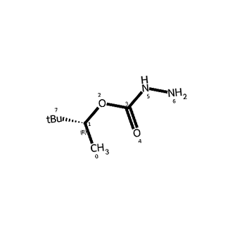 C[C@@H](OC(=O)NN)C(C)(C)C